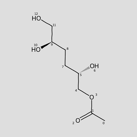 CC(=O)OC[C@@H](O)CC[C@@H](O)CO